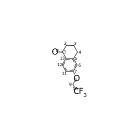 O=C1CCCc2cc(OCC(F)(F)F)ccc21